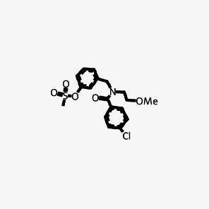 COCCN(Cc1cccc(OS(C)(=O)=O)c1)C(=O)c1ccc(Cl)cc1